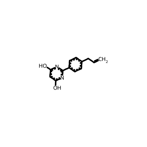 C=CCc1ccc(-c2nc(O)cc(O)n2)cc1